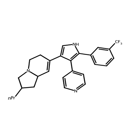 CCCC1CC2C=C(c3c[nH]c(-c4cccc(C(F)(F)F)c4)c3-c3ccncc3)CCN2C1